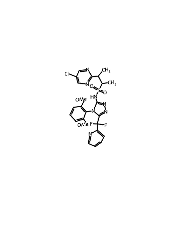 COc1cccc(OC)c1-n1c(NS(=O)(=O)C(C)C(C)c2ncc(Cl)cn2)nnc1C(F)(F)c1ccccn1